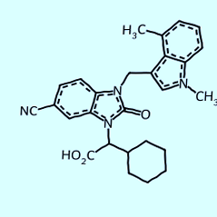 Cc1cccc2c1c(Cn1c(=O)n(C(C(=O)O)C3CCCCC3)c3cc(C#N)ccc31)cn2C